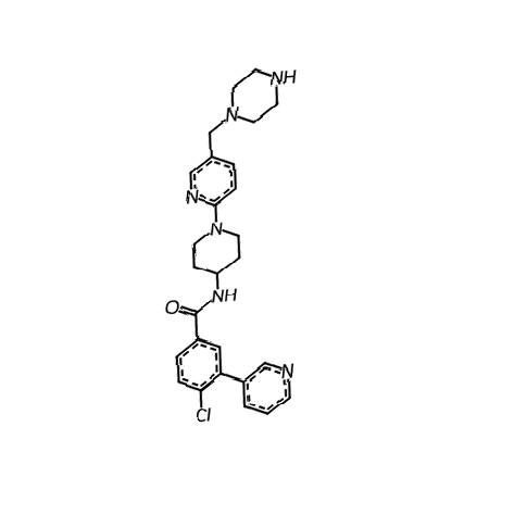 O=C(NC1CCN(c2ccc(CN3CCNCC3)cn2)CC1)c1ccc(Cl)c(-c2cccnc2)c1